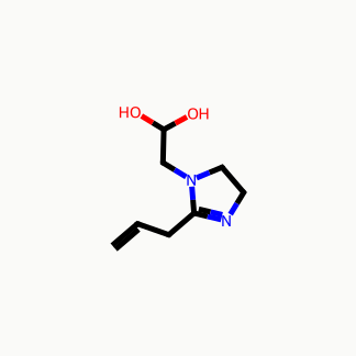 C=CCC1=NCCN1CC(O)O